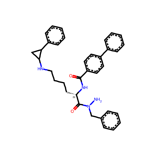 NN(Cc1ccccc1)C(=O)[C@H](CCCCNC1CC1c1ccccc1)NC(=O)c1ccc(-c2ccccc2)cc1